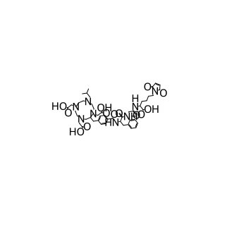 CC(C)CN1CCN(CC(=O)O)CCN(CC(=O)O)CC(Cc2ccc(C(=O)NC(Cc3ccccc3)C(=O)NCC(=O)NC(CCCCN3C(=O)C=CC3=O)C(=O)O)cc2)N(CC(=O)O)CC1